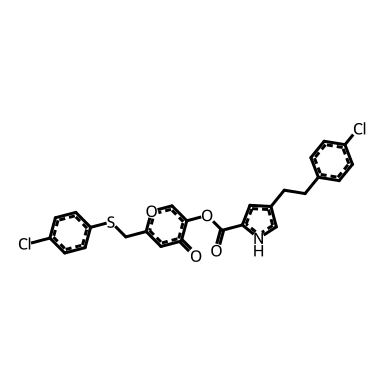 O=C(Oc1coc(CSc2ccc(Cl)cc2)cc1=O)c1cc(CCc2ccc(Cl)cc2)c[nH]1